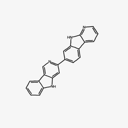 c1ccc2c(c1)[nH]c1cc(-c3ccc4c(c3)[nH]c3ncccc34)ncc12